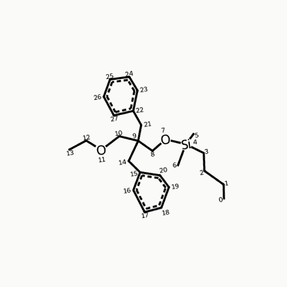 CCCC[Si](C)(C)OCC(COCC)(Cc1ccccc1)Cc1ccccc1